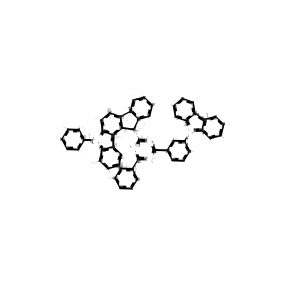 c1ccc(-c2nc(-c3cccc(-n4c5ccccc5c5ccccc54)c3)nc([C@@H]3c4ccccc4-c4ccc5c(c43)c3ccccc3n5-c3ccccc3)n2)cc1